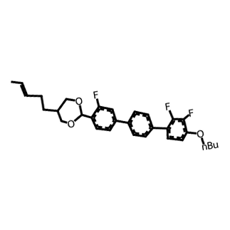 C/C=C/CCC1COC(c2ccc(-c3ccc(-c4ccc(OCCCC)c(F)c4F)cc3)cc2F)OC1